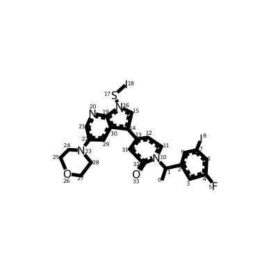 CC(c1cc(F)cc(I)c1)n1ccc(-c2cn(SI)c3ncc(N4CCOCC4)cc23)cc1=O